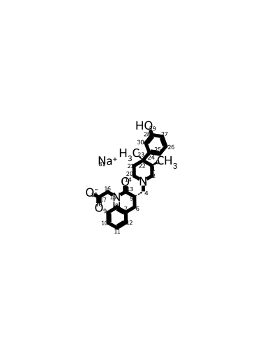 C[C@H]1CN(C[C@H](Cc2ccccc2)C(=O)NCC(=O)[O-])CC[C@@]1(C)c1cccc(O)c1.[Na+]